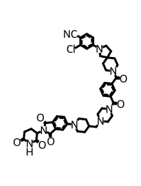 N#Cc1ccc(N2CCC3(CCN(C(=O)c4cccc(C(=O)N5CCN(CC6CCN(c7ccc8c(c7)C(=O)N(C7CCC(=O)NC7=O)C8=O)CC6)CC5)c4)CC3)C2)cc1Cl